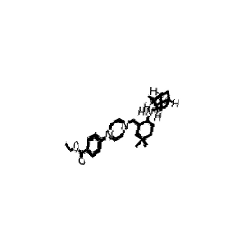 CCOC(=O)c1ccc(N2CCN(CC3CC(C)(C)CCC3N[C@H]3C[C@H]4C[C@H]([C@H]3C)C4(C)C)CC2)cc1